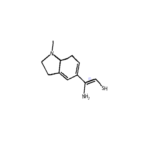 CN1CCC2=CC(/C(N)=C/S)=CCC21